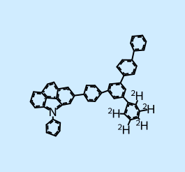 [2H]c1c([2H])c([2H])c(-c2cc(-c3ccc(-c4ccccc4)cc3)cc(-c3ccc(-c4cc5ccc6cccc7c6c5c(c4)n7-c4ccccc4)cc3)c2)c([2H])c1[2H]